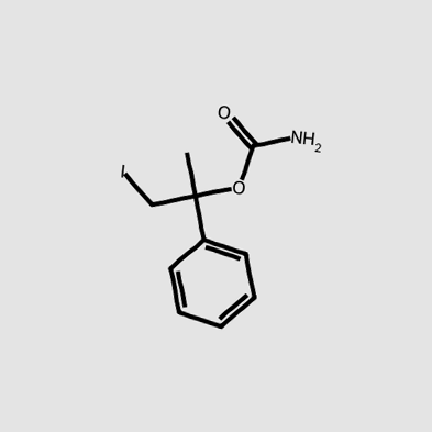 CC(CI)(OC(N)=O)c1ccccc1